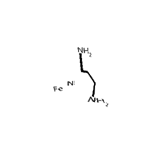 NCCN.[Fe].[N]